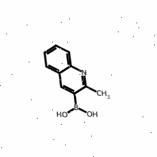 Cc1nc2ccccc2cc1B(O)O